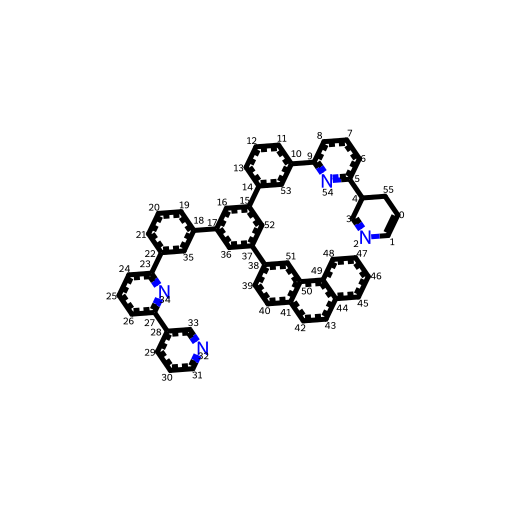 C1=CN=CC(c2cccc(-c3cccc(-c4cc(-c5cccc(-c6cccc(-c7cccnc7)n6)c5)cc(-c5ccc6ccc7ccccc7c6c5)c4)c3)n2)C1